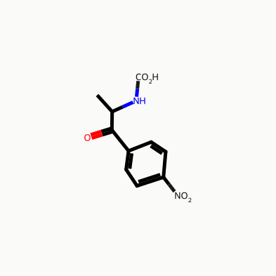 CC(NC(=O)O)C(=O)c1ccc([N+](=O)[O-])cc1